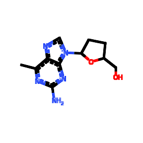 Cc1nc(N)nc2c1ncn2C1CCC(CO)O1